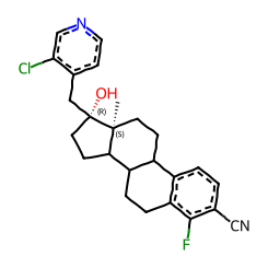 C[C@]12CCC3c4ccc(C#N)c(F)c4CCC3C1CC[C@@]2(O)Cc1ccncc1Cl